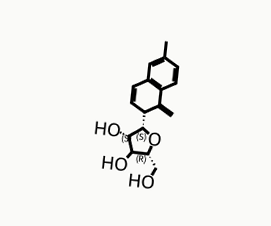 C=C1c2ccc(C)cc2C=CC1[C@@H]1O[C@H](CO)C(O)[C@@H]1O